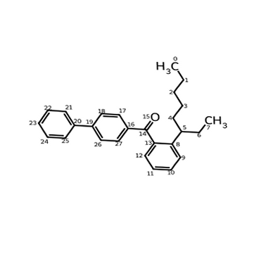 CCCCCC(CC)c1ccccc1C(=O)c1ccc(-c2ccccc2)cc1